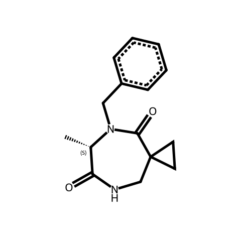 C[C@H]1C(=O)NCC2(CC2)C(=O)N1Cc1ccccc1